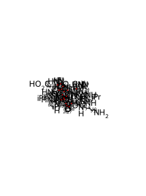 CC(C)C[C@H](NC(=O)[C@H](CCCCN)NC(=O)OCC1c2ccccc2-c2ccccc21)C(=O)N[C@@H](Cc1c[nH]cn1)C(=O)N[C@@H](CCC(=O)O)C(=O)N[C@@H](CC(C)C)C(=O)N[C@@H](CC(C)C)C(=O)N[C@@H](Cc1c[nH]cn1)C(=O)N[C@@H](CCC(=O)O)C(=O)N[C@@H](CC(C)C)C(=O)N[C@@H](CC(C)C)C(=O)N[C@@H](Cc1c[nH]cn1)C(=O)N[C@@H](Cc1c[nH]c2ccccc12)C(=O)O